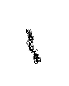 CC(CN1CCN(C(=O)Cc2ccc(-n3cncn3)cc2)CC1)c1ccc2c(c1)COC2=O